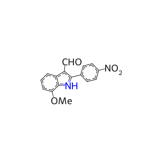 COc1cccc2c(C=O)c(-c3ccc([N+](=O)[O-])cc3)[nH]c12